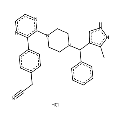 Cc1n[nH]cc1C(c1ccccc1)N1CCN(c2nccnc2-c2ccc(CC#N)cc2)CC1.Cl